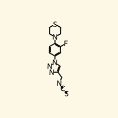 Fc1cc(-n2cc(CN=C=S)nn2)ccc1N1CCSCC1